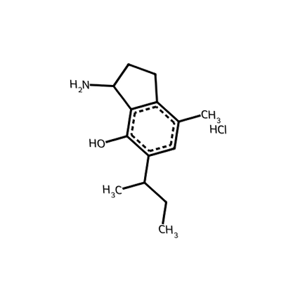 CCC(C)c1cc(C)c2c(c1O)C(N)CC2.Cl